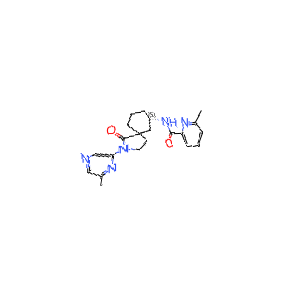 Cc1cccc(C(=O)N[C@H]2CCCC3(CCN(c4cncc(C)n4)C3=O)C2)n1